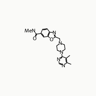 CNC(=O)c1ccc2nc(CN3CCN(c4ncnc(C)c4C)CC3)oc2c1